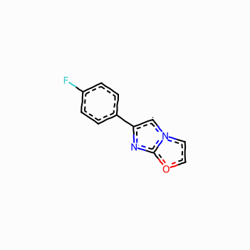 Fc1ccc(-c2[c]n3ccoc3n2)cc1